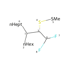 CCCCCCCC(CCCCCC)[C@H](SSC)C(F)F